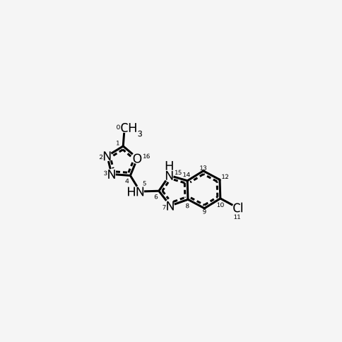 Cc1nnc(Nc2nc3cc(Cl)ccc3[nH]2)o1